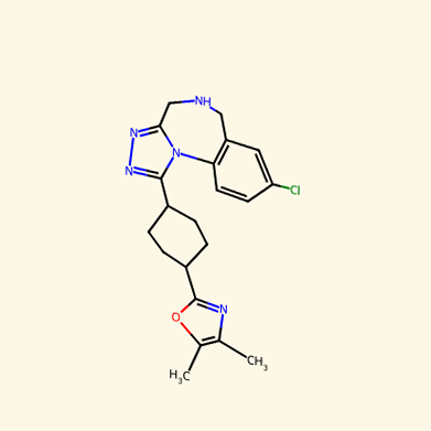 Cc1nc(C2CCC(c3nnc4n3-c3ccc(Cl)cc3CNC4)CC2)oc1C